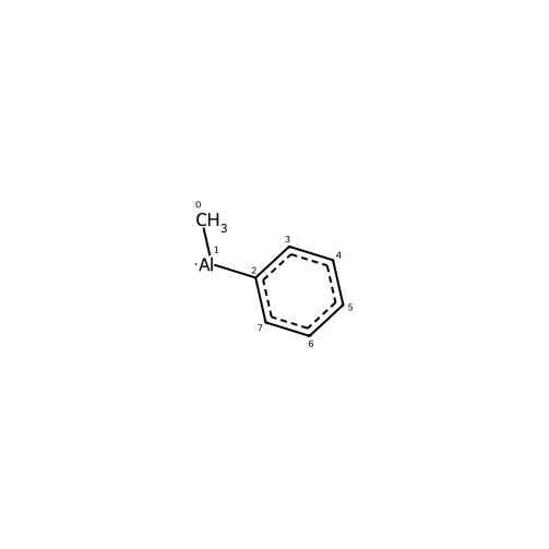 [CH3][Al][c]1ccccc1